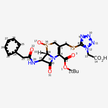 CC(C)(C)OC(=O)C1=C(CSc2nnnn2CC(=O)O)C[S+]([O-])[C@H]2C(NC(=O)Cc3ccccc3)C(=O)N12